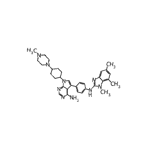 Cc1cc(C)c2c(c1)nc(Nc1ccc(-c3cn(C4CCC(N5CCN(C)CC5)CC4)c4ncnc(N)c34)cc1)n2C